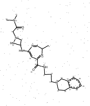 CC1C=NC(NC2CN(CC(=O)N(C)C)N2)=CC(C(=O)NCCCN2CCc3ccccc3C2)=N1